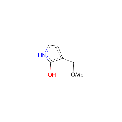 COCc1cc[nH]c1O